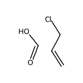 C=CCCl.O=CO